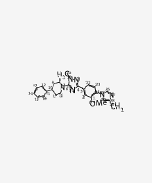 COc1cc(-c2nc(N3CCC(c4ccccc4)CC3)n(C)n2)ccc1-n1cnc(C)c1